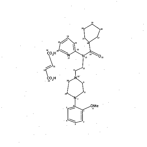 COc1ccccc1N1CCN(CCN(C(=O)C2CCCCC2)c2ccccn2)CC1.O=C(O)C=CC(=O)O